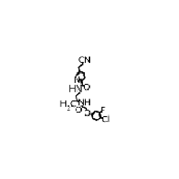 C=C(CCNC(=O)c1ccc(CCC#N)cn1)NC(=O)COc1ccc(Cl)c(F)c1